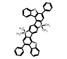 C[Si]1(C)c2cc3c(cc2-c2c1cc(-c1ccccc1)c1c2oc2ccccc21)[Si](C)(C)c1cc(-c2ccccc2)c2oc4ccccc4c2c1-3